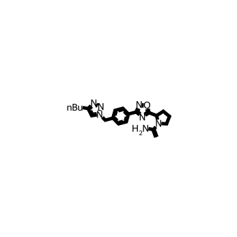 C=C(N)N1CCCC1c1nc(-c2ccc(Cn3cc(CCCC)nn3)cc2)no1